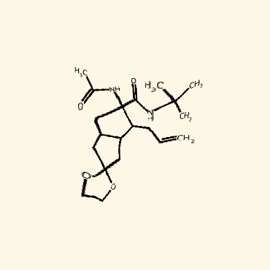 C=CCC1C2CC3(CC2CC1(NC(C)=O)C(=O)NC(C)(C)C)OCCO3